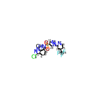 Cn1nc(Cl)c2cccc(NS(=O)(=O)c3cnn(-c4cc(C(F)(F)F)ccn4)c3)c21